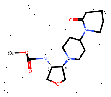 CC(C)(C)OC(=O)N[C@H]1COC[C@@H]1N1CCC(N2CCCCC2=O)CC1